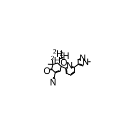 [2H]C([2H])([2H])OC1(c2cccc(-c3cnn(C)c3)n2)C=C(C#N)C(=O)C(C)(C)C1